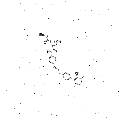 CC1CC=CC(c2ccc(CCOc3ccc(NC(=O)[C@](C)(CO)NC(=O)OC(C)(C)C)cc3)cc2)=C1Cl